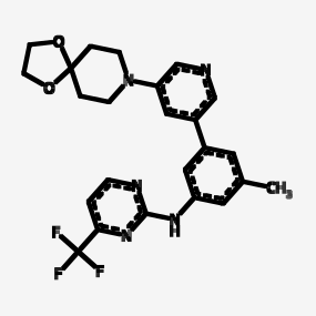 Cc1cc(Nc2nccc(C(F)(F)F)n2)cc(-c2cncc(N3CCC4(CC3)OCCO4)c2)c1